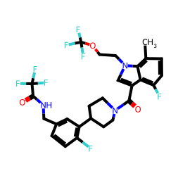 Cc1ccc(F)c2c(C(=O)N3CCC(c4cc(CNC(=O)C(F)(F)F)ccc4F)CC3)cn(CCOC(F)(F)F)c12